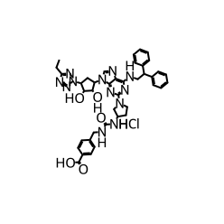 CCc1nnn(C2CC(n3cnc4c(NCC(c5ccccc5)c5ccccc5)nc(N5CCC(NC(=O)NCc6ccc(C(=O)O)cc6)C5)nc43)C(O)C2O)n1.Cl